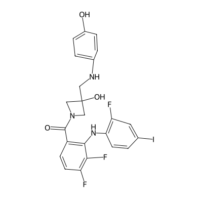 O=C(c1ccc(F)c(F)c1Nc1ccc(I)cc1F)N1CC(O)(CNc2ccc(O)cc2)C1